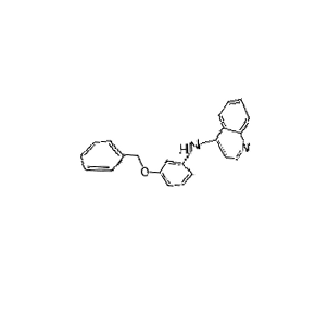 c1ccc(COc2cccc(Nc3ccnc4ccccc34)c2)cc1